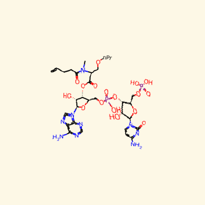 C=CCCC(=O)N(C)C(COCCC)C(=O)O[C@H]1[C@@H](O)[C@H](n2cnc3c(N)ncnc32)O[C@@H]1COP(=O)(O)O[C@H]1[C@@H](O)[C@H](n2ccc(N)nc2=O)O[C@@H]1COP(=O)(O)O